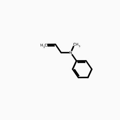 C=CCN(C)C1=CCCC=C1